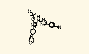 COCC(C)(C)COc1nn(C2CCC(N3CCOCC3)CC2)cc1Nc1ncc(-c2ccc(C#N)cc2)cn1